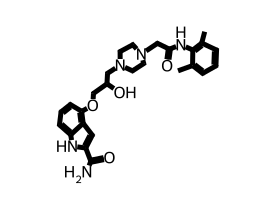 Cc1cccc(C)c1NC(=O)CN1CCN(CC(O)COc2cccc3[nH]c(C(N)=O)cc23)CC1